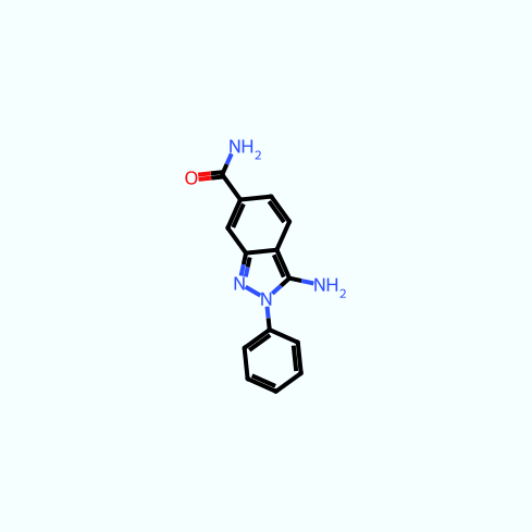 NC(=O)c1ccc2c(N)n(-c3ccccc3)nc2c1